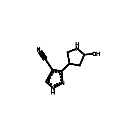 N#Cc1c[nH]nc1C1CNC(O)C1